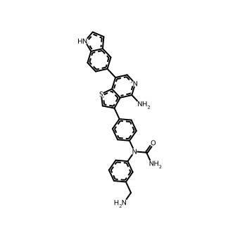 NCc1cccc(N(C(N)=O)c2ccc(-c3csc4c(-c5ccc6[nH]ccc6c5)cnc(N)c34)cc2)c1